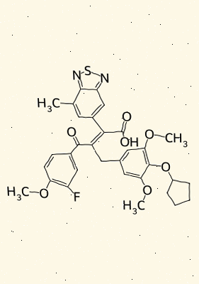 COc1ccc(C(=O)C(Cc2cc(OC)c(OC3CCCC3)c(OC)c2)=C(C(=O)O)c2cc(C)c3nsnc3c2)cc1F